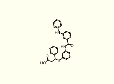 O=C(O)CC(Sc1cccc(NC(=O)c2cccc(Nc3ccccn3)c2)c1)c1cccnc1